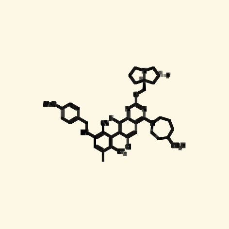 COc1ccc(CNc2cc(C)c(C(F)(F)F)c(-c3c(Cl)cc4c(N5CCCC(C(=O)O)CC5)nc(OC[C@@]56CCCN5C[C@H](F)C6)nc4c3F)c2C#N)cc1